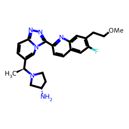 COCCc1cc2nc(-c3nnc4ccc([C@H](C)N5CC[C@H](N)C5)cn34)ccc2cc1F